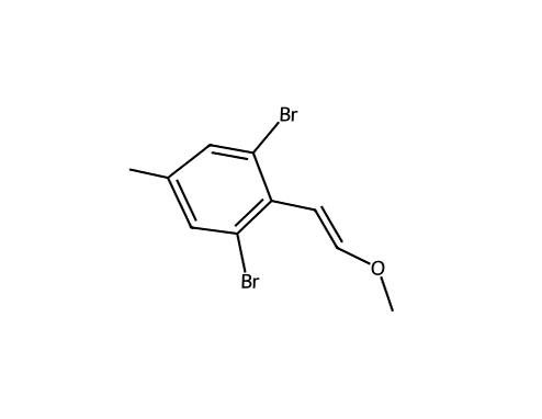 COC=Cc1c(Br)cc(C)cc1Br